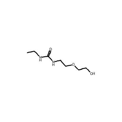 CCNC(=O)NCCOCCO